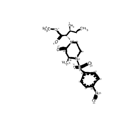 CC[C@H](C)[C@@H](C(=O)OC)N1CCN(S(=O)(=O)c2ccc(N=O)cc2)[C@@H](C)C1=O